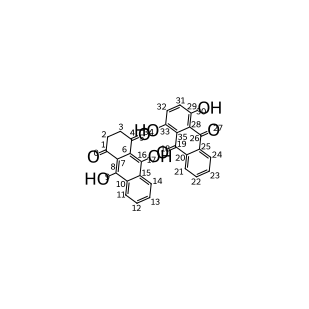 O=C1CCC(=O)c2c1c(O)c1ccccc1c2O.O=C1c2ccccc2C(=O)c2c(O)ccc(O)c21